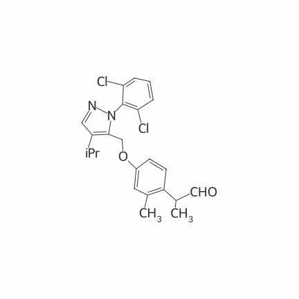 Cc1cc(OCc2c(C(C)C)cnn2-c2c(Cl)cccc2Cl)ccc1C(C)C=O